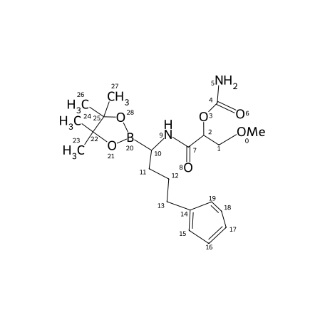 COCC(OC(N)=O)C(=O)NC(CCCc1ccccc1)B1OC(C)(C)C(C)(C)O1